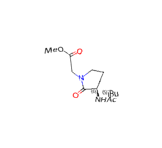 CC[C@H](C)[C@@]1(NC(C)=O)CCN(CC(=O)OC)C1=O